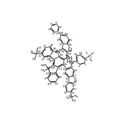 CC(C)(C)c1ccc(Nc2cc3sc4cc(C(C)(C)C)ccc4c3cc2-c2c3c(c4c5cc(C(C)(C)C)ccc5n5c4c2Bc2oc4ccc(-c6ccccc6)cc4c2-5)C(C)(C)c2ccccc2-3)cc1